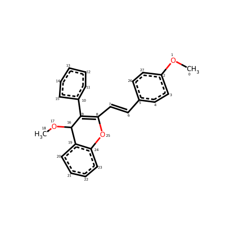 COc1ccc(C=CC2=C(c3ccccc3)C(OC)c3ccccc3O2)cc1